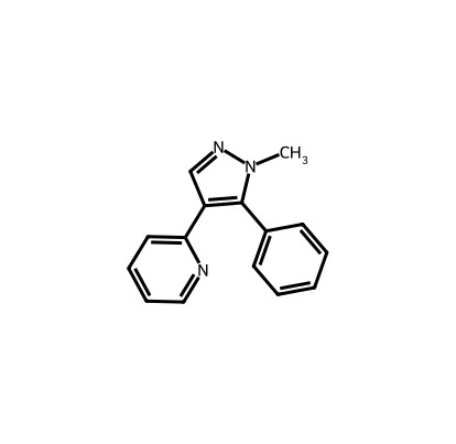 Cn1ncc(-c2ccccn2)c1-c1ccccc1